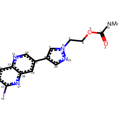 CNC(=O)OCCn1cc(-c2cnc3ccc(I)nc3c2)cn1